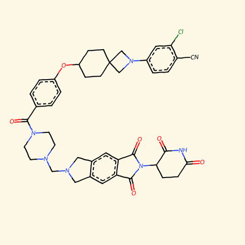 N#Cc1ccc(N2CC3(CCC(Oc4ccc(C(=O)N5CCN(CN6Cc7cc8c(cc7C6)C(=O)N(C6CCC(=O)NC6=O)C8=O)CC5)cc4)CC3)C2)cc1Cl